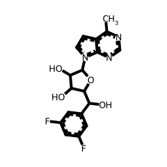 Cc1ncnc2c1ccn2C1OC(C(O)c2cc(F)cc(F)c2)C(O)C1O